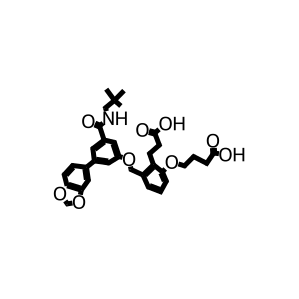 CC(C)(C)CNC(=O)c1cc(OCc2cccc(OCCCC(=O)O)c2CCC(=O)O)cc(-c2ccc3c(c2)OCO3)c1